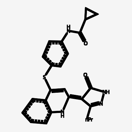 CCCC1=NNC(=O)C1=C1C=C(Sc2ccc(NC(=O)C3CC3)cc2)c2ccccc2N1